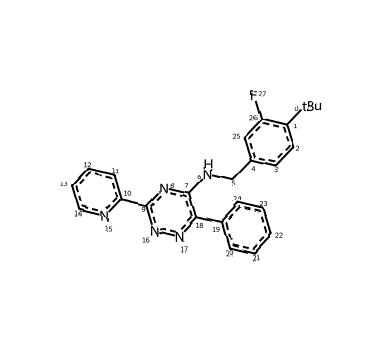 CC(C)(C)c1ccc(CNc2nc(-c3ccccn3)nnc2-c2ccccc2)cc1F